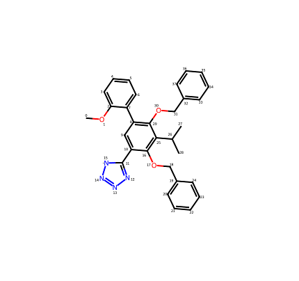 COc1ccccc1-c1cc(C2=NN=N[N]2)c(OCc2ccccc2)c(C(C)C)c1OCc1ccccc1